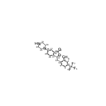 Cc1cc(C(F)(F)F)ccc1CC1OC(=O)c2cc(N3CCNCC3)ccc21